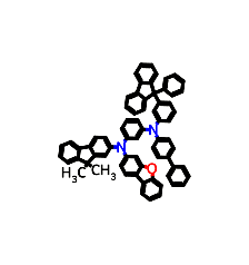 CC1(C)c2ccccc2-c2ccc(N(c3cccc(N(c4ccc(-c5ccccc5)cc4)c4cccc(C5(c6ccccc6)c6ccccc6-c6ccccc65)c4)c3)c3ccc4c(c3)oc3ccccc34)cc21